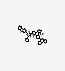 Cc1ccc(-c2cc3ccccc3c3ccccc23)cc1-c1c(O)cccc1-c1ccc(-c2nc(-c3ccccc3)nc(-c3ccc4c(c3)sc3ccccc34)n2)cc1